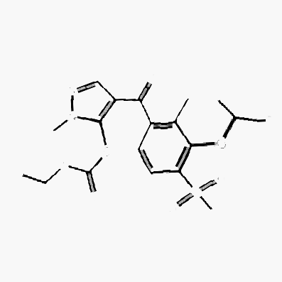 CCSC(=O)Oc1c(C(=O)c2ccc(S(C)(=O)=O)c(OC(F)F)c2C)cnn1C